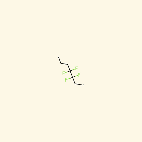 [CH2]CC(F)(F)C(F)(F)CCC